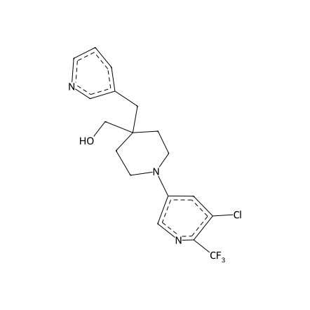 OCC1(Cc2cccnc2)CCN(c2cnc(C(F)(F)F)c(Cl)c2)CC1